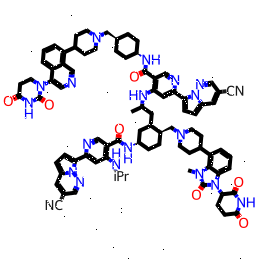 CC(C)Nc1cc(-c2ccc3cc(C#N)cnn23)ncc1C(=O)N[C@H]1CC[C@H](CN2CCC(c3cccc4c3n(C)c(=O)n4C3CCC(=O)NC3=O)CC2)C(CC(C)Nc2cc(-c3ccc4cc(C#N)cnn34)ncc2C(=O)N[C@H]2CC[C@H](CN3CCC(c4cccc5c(N6CCC(=O)NC6=O)cncc45)CC3)CC2)C1